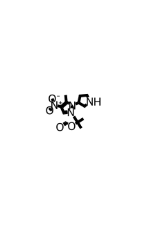 CC(C)(C)OC=O.Cc1c([N+](=O)[O-])cnn1C1CCNC1